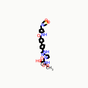 COC(=O)N[C@@H](C(=O)N1CCC[C@H]1c1ncc(-c2ccc(-c3ccc(C(=O)Nc4ccc(CN5CCS(=O)(=O)CC5)cc4)cc3)cc2)[nH]1)[C@H](C)O